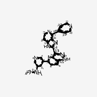 CC(C)Nc1cncc(-c2ccc3[nH]nc(-c4nc5c(-c6ccncc6)nccc5[nH]4)c3n2)c1